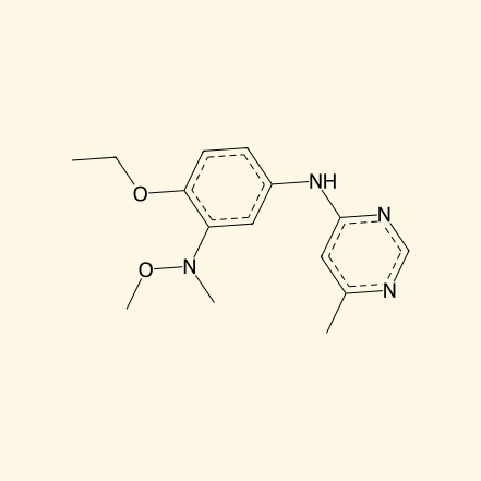 CCOc1ccc(Nc2cc(C)ncn2)cc1N(C)OC